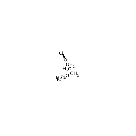 O.O.O.O.O.[K+].[O-]Cl